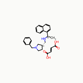 C[C@@H](NC[C@@H]1CCN(Cc2ccccc2)C1)c1cccc2ccccc12.O=C(O)C=CC(=O)O